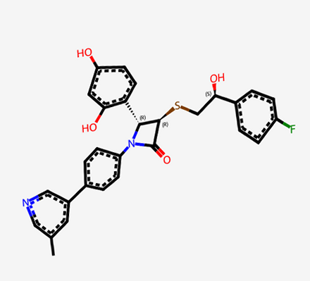 Cc1cncc(-c2ccc(N3C(=O)[C@H](SC[C@@H](O)c4ccc(F)cc4)[C@H]3c3ccc(O)cc3O)cc2)c1